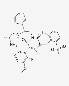 COc1cccc(-c2c(C)n(Cc3c(F)cccc3S(C)(=O)=O)c(=O)n(CC(NC[C@@H](C)N)c3ccccc3)c2=O)c1F